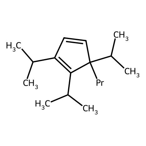 CC(C)C1=C(C(C)C)[C]([Pr])(C(C)C)C=C1